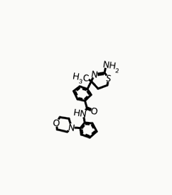 CC1(c2cccc(C(=O)Nc3ccccc3N3CCOCC3)c2)CCSC(N)=N1